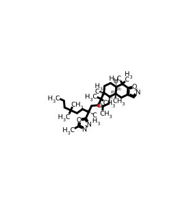 CCCC(C)(C)CC[C@@](C)(CCC(C)(C)[C@]1(C)CC[C@H]2C(C)(C)c3oncc3C[C@]2(C)[C@H]1CC(C)=O)c1nnc(C)o1